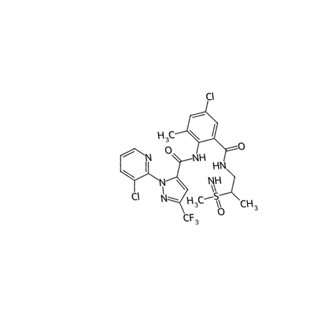 Cc1cc(Cl)cc(C(=O)NCC(C)S(C)(=N)=O)c1NC(=O)c1cc(C(F)(F)F)nn1-c1ncccc1Cl